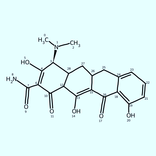 CN(C)[C@@H]1C(O)=C(C(N)=O)C(=O)C2C(O)=C3C(=O)c4c(O)cccc4CC3CC21